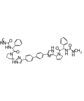 CNC(=O)NC(C(=O)N1CC=CC1c1nc(-c2ccc(-c3ccc(-c4c[nH]c([C@@H]5CCCN5C(=O)C(NC(=O)NC)c5ccccc5)n4)cc3)cc2)c[nH]1)c1ccccc1